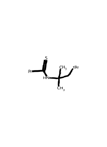 CC(C)C(=S)NC(C)(C)CC(C)(C)C